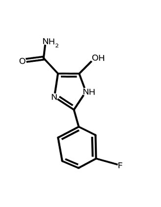 NC(=O)c1nc(-c2cccc(F)c2)[nH]c1O